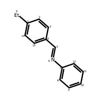 CCc1ccc(C=Nc2ccccc2)cc1